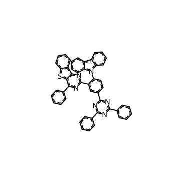 c1ccc(-c2nc(-c3ccccc3)nc(-c3ccc(-n4c5ccccc5c5ccccc54)c(-c4nc(-c5ccccc5)c5sc6ccccc6c5n4)c3)n2)cc1